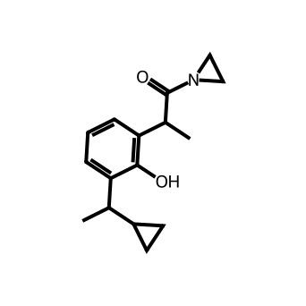 CC(C(=O)N1CC1)c1cccc(C(C)C2CC2)c1O